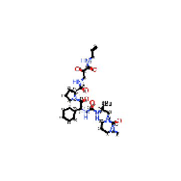 C=CCNC(=O)C(=O)CNC(=O)[C@@H]1CCCN1C(=O)[C@@H](NC(=O)N[C@H](CN1CCCN(C)C1=O)C(C)(C)C)C1CCCCC1